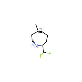 C/C1=C/CCC(C(F)F)/N=C\C1